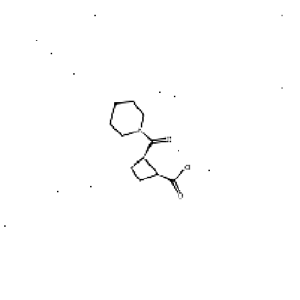 O=C(Cl)[C@H]1CC[C@H]1C(=O)N1CCCCC1